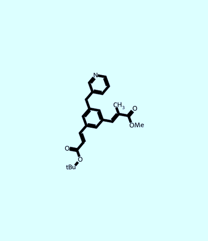 COC(=O)/C(C)=C/c1cc(/C=C/C(=O)OC(C)(C)C)cc(Cc2cccnc2)c1